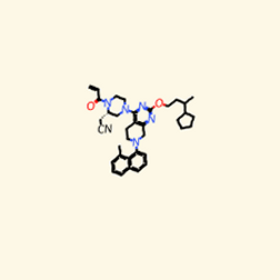 C=CC(=O)N1CCN(c2nc(OCCC(C)C3CCCC3)nc3c2CCN(c2cccc4cccc(C)c24)C3)C[C@@H]1CC#N